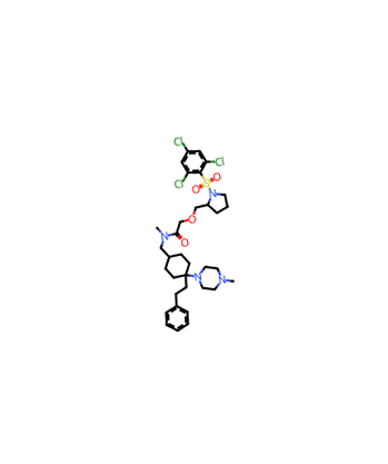 CN1CCN(C2(CCc3ccccc3)CCC(CN(C)C(=O)COCC3CCCN3S(=O)(=O)c3c(Cl)cc(Cl)cc3Cl)CC2)CC1